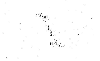 CCS(C)(C)[SiH2]CCCSSSSCCC[SiH2]S(C)(C)CC